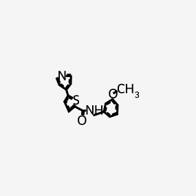 COc1cccc(CNC(=O)c2ccc(-c3ccncc3)s2)c1